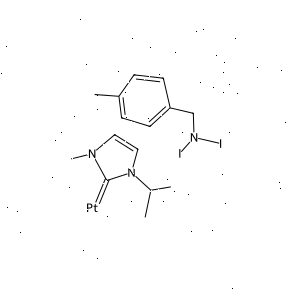 CC(C)n1ccn(C)[c]1=[Pt].Cc1ccc(CN(I)I)cc1